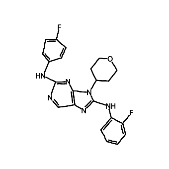 Fc1ccc(Nc2ncc3nc(Nc4ccccc4F)n(C4CCOCC4)c3n2)cc1